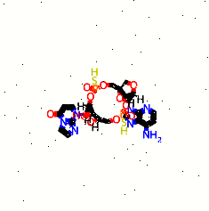 Nc1ccnc2c1ncn2[C@@H]1O[C@@]23CO[C@@H]1[C@@H]2OP(=O)(S)OC[C@H]1O[C@@H](n2ccc(=O)n4ccnc24)[C@H](OP(=O)(S)OC3)[C@@H]1O